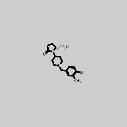 Cc1cc(CN2CCC(N3C(=O)CC[C@@H]3C(=O)O)CC2)ccc1Br